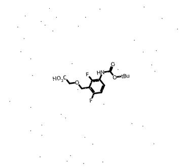 CC(C)(C)OC(=O)Nc1ccc(F)c(COCC(=O)O)c1F